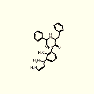 Cc1c(NC(=O)C(Cc2ccccc2)NC(=O)c2ccccc2)cccc1N(N)/C=C\N